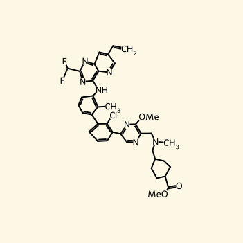 C=Cc1cnc2c(Nc3cccc(-c4cccc(-c5cnc(CN(C)CC6CCC(C(=O)OC)CC6)c(OC)n5)c4Cl)c3C)nc(C(F)F)nc2c1